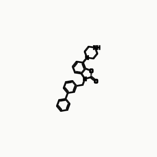 O=c1oc2c(N3CCNCC3)cccc2n1Cc1cccc(-c2ccccc2)c1